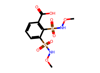 CONS(=O)(=O)c1cccc(C(=O)O)c1S(=O)(=O)NOC